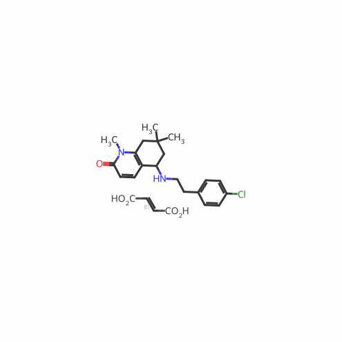 Cn1c2c(ccc1=O)C(NCCc1ccc(Cl)cc1)CC(C)(C)C2.O=C(O)/C=C/C(=O)O